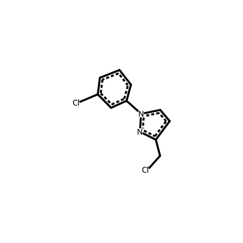 ClCc1ccn(-c2cccc(Cl)c2)n1